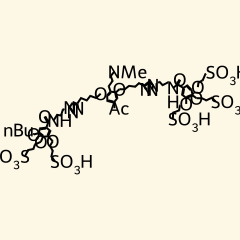 CCCCOc1cc(C(=O)NCCCn2cc(CCCCOc3cc(C(C)=O)cc(OCCCCc4cn(CCCNC(=O)c5cc(OCCCS(=O)(=O)O)c(OCCCS(=O)(=O)O)c(OCCCS(=O)(=O)O)c5)nn4)c3CCCNC)nn2)cc(OCCCS(=O)(=O)O)c1OCCCS(=O)(=O)O